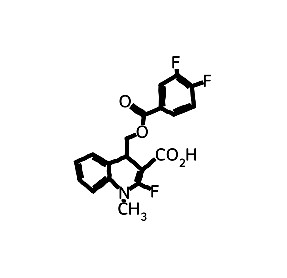 CN1C(F)=C(C(=O)O)C(COC(=O)c2ccc(F)c(F)c2)c2ccccc21